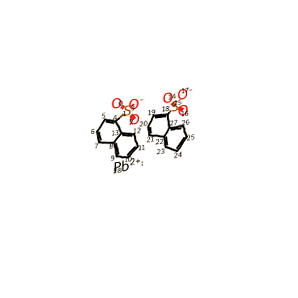 O=S(=O)([O-])c1cccc2ccccc12.O=S(=O)([O-])c1cccc2ccccc12.[Pb+2]